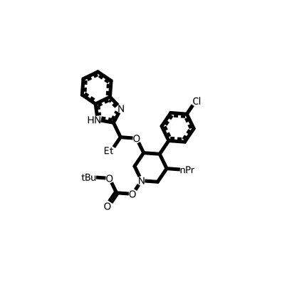 CCCC1CN(OC(=O)OC(C)(C)C)CC(OC(CC)c2nc3ccccc3[nH]2)C1c1ccc(Cl)cc1